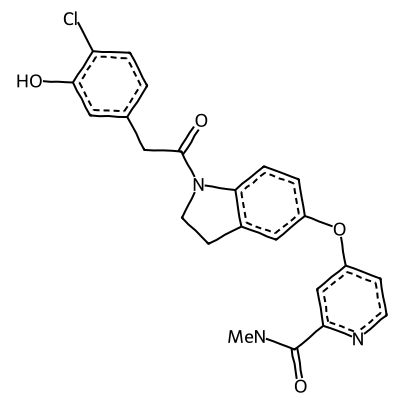 CNC(=O)c1cc(Oc2ccc3c(c2)CCN3C(=O)Cc2ccc(Cl)c(O)c2)ccn1